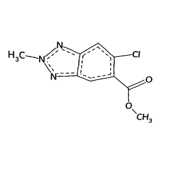 COC(=O)c1cc2nn(C)nc2cc1Cl